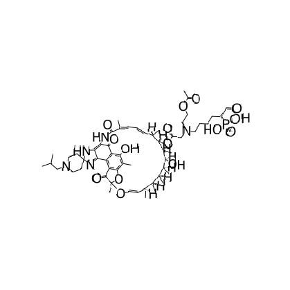 CC(=O)OCCN(CCCCC(C=O)P(=O)(O)O)CC(=O)O[C@@H]1[C@@H](C)[C@@H](O)[C@@H](C)[C@H](C)[C@H](C)[C@@H](C)/C=C/O[C@@]2(C)Oc3c(C)c(O)c4c(c3C2=O)C2=NC3(CCN(CC(C)C)CC3)NC2=C(NC(=O)/C(C)=C\C=C\[C@@H]1C)C4=O